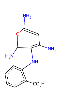 NC1=CC(N)=C(Nc2ccccc2C(=O)O)C(N)O1